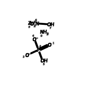 N.O=P([O-])([O-])O.O=[N+]([O-])O.[Zn+2]